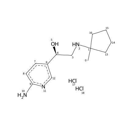 CC1(NC[C@H](O)c2ccc(N)nc2)CCCC1.Cl.Cl